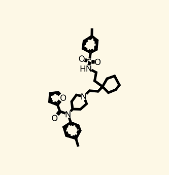 Cc1ccc(N(C(=O)c2ccco2)C2CCN(CCC3(CCNS(=O)(=O)c4ccc(C)cc4)CCCCC3)CC2)cc1